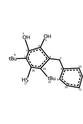 CC(C)(C)c1c(O)c(O)c(Cc2ccccc2)c(C(C)(C)C)c1S